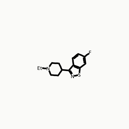 [CH2]CN1CCC(c2nsc3cc(F)ccc23)CC1